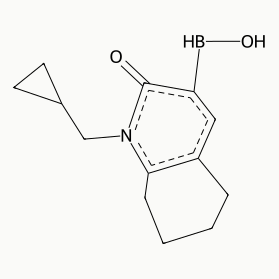 O=c1c(BO)cc2c(n1CC1CC1)CCCC2